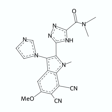 COc1cc2c(-n3ccnc3)c(-c3nnc(C(=O)N(C)C)[nH]3)n(C)c2c(C#N)c1C#N